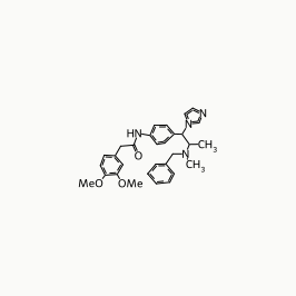 COc1ccc(CC(=O)Nc2ccc(C(C(C)N(C)Cc3ccccc3)n3ccnc3)cc2)cc1OC